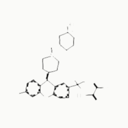 O=C(O)C(=O)O.O[C@H]1CCC[C@H](CN2CCC(=C3c4ccc(F)cc4Sc4ccc(C(F)(F)F)cc43)CC2)C1